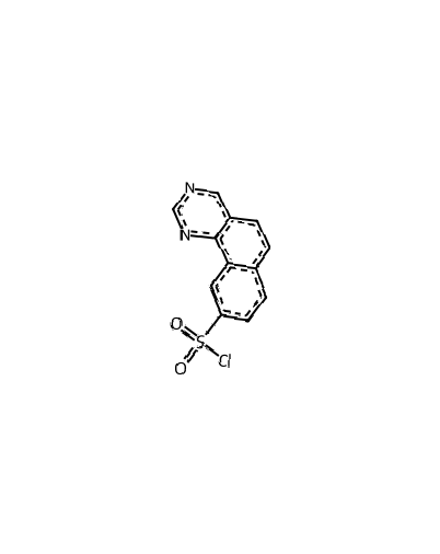 O=S(=O)(Cl)c1ccc2ccc3cncnc3c2c1